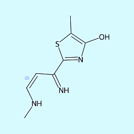 CN/C=C\C(=N)c1nc(O)c(C)s1